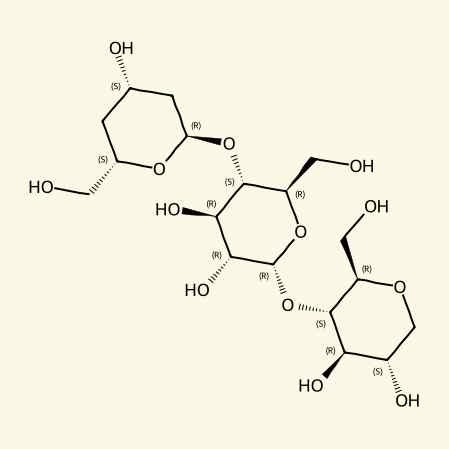 OC[C@@H]1C[C@H](O)C[C@@H](O[C@H]2[C@H](O)[C@@H](O)[C@@H](O[C@H]3[C@H](O)[C@@H](O)CO[C@@H]3CO)O[C@@H]2CO)O1